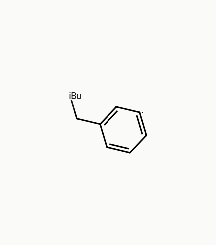 CCC(C)Cc1c[c]ccc1